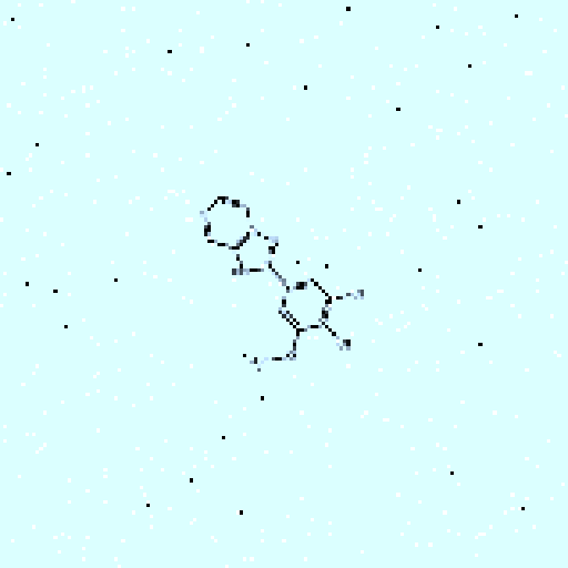 COc1cc(-c2nc3ccncc3[nH]2)cc(O)c1O